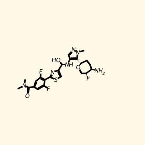 CN(C)C(=O)c1cc(F)c(-c2nc(C(O)Nc3cnn(C)c3[C@@H]3CC[C@@H](N)[C@H](F)CO3)cs2)c(F)c1